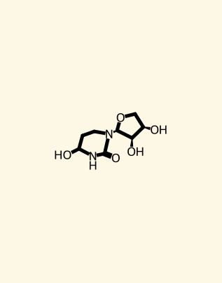 O=C1NC(O)CCN1[C@@H]1OC[C@@H](O)[C@H]1O